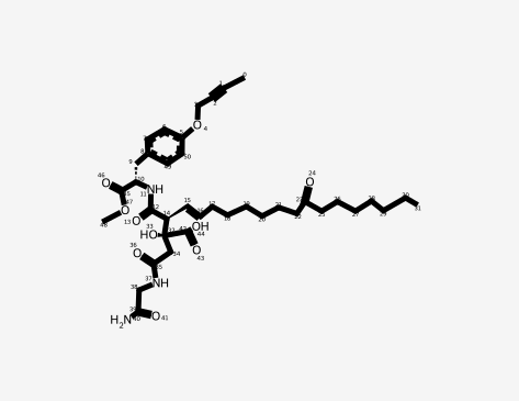 CC#CCOc1ccc(C[C@H](NC(=O)[C@@H](C=CCCCCCCC(=O)CCCCCCC)[C@@](O)(CC(=O)NCC(N)=O)C(=O)O)C(=O)OC)cc1